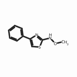 CONc1nc(-c2ccccc2)cs1